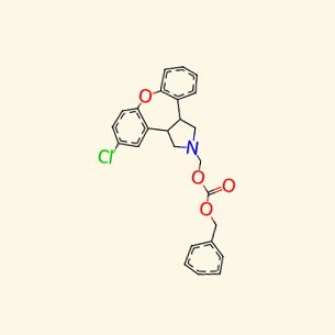 O=C(OCc1ccccc1)OCN1CC2c3ccccc3Oc3ccc(Cl)cc3C2C1